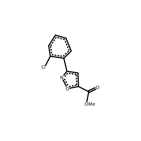 COC(=O)c1cc(-c2ccccc2Cl)no1